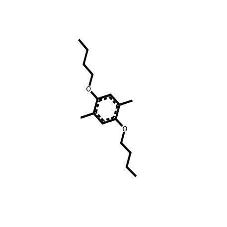 CCCCOc1cc(C)c(OCCCC)cc1C